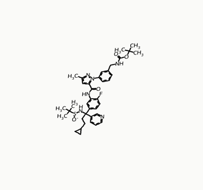 Cc1cc(C(=O)Nc2cc(C(CCC3CC3)(N[S+]([O-])C(C)(C)C)c3cccnc3)ccc2F)n(-c2cccc(CNC(=O)OC(C)(C)C)c2)n1